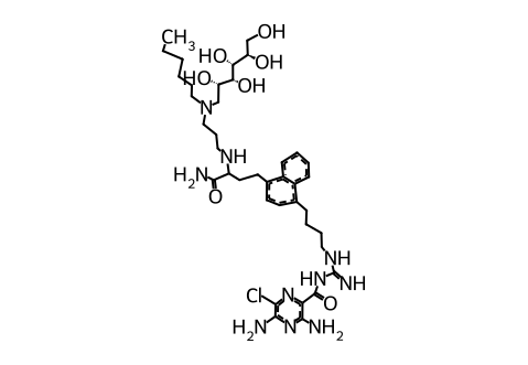 CCCCCCN(CCCNC(CCc1ccc(CCCCNC(=N)NC(=O)c2nc(Cl)c(N)nc2N)c2ccccc12)C(N)=O)C[C@H](O)[C@@H](O)[C@H](O)[C@H](O)CO